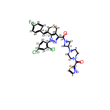 O=C(c1nccs1)N1CCN(C2CN(C(=O)c3nn(-c4ccc(Cl)cc4Cl)c4c3CSC/C4=C\c3ccc(F)cc3)C2)CC1